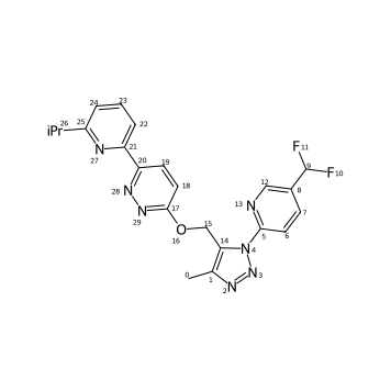 Cc1nnn(-c2ccc(C(F)F)cn2)c1COc1ccc(-c2cccc(C(C)C)n2)nn1